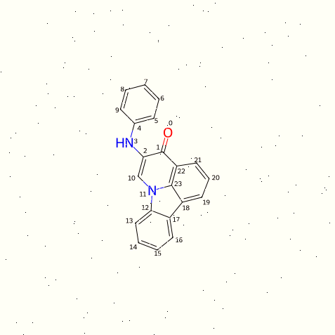 O=c1c(Nc2ccccc2)cn2c3ccccc3c3cccc1c32